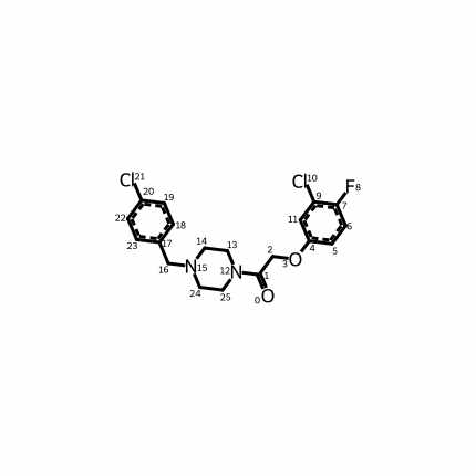 O=C(COc1ccc(F)c(Cl)c1)N1CCN(Cc2ccc(Cl)cc2)CC1